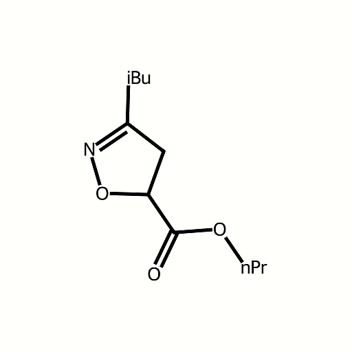 CCCOC(=O)C1CC(C(C)CC)=NO1